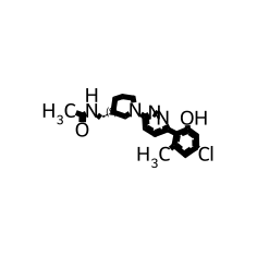 CC(=O)NC[C@@H]1CCCN(c2ccc(-c3c(C)cc(Cl)cc3O)nn2)C1